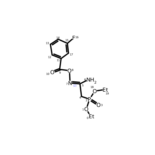 CCOP(=O)(C/C(N)=N/OC(=O)c1cccc(F)c1)OCC